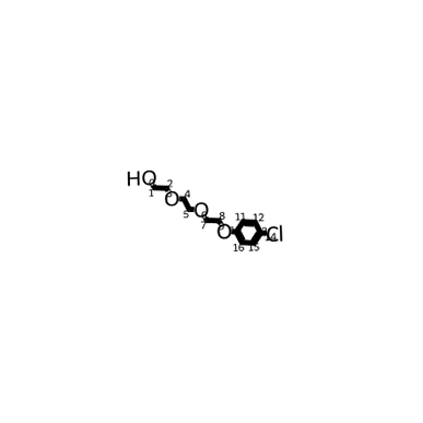 OCCOCCOCCOc1ccc(Cl)cc1